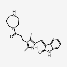 Cc1[nH]c(C=C2C(=O)Nc3ccccc32)c(C)c1CCC(=O)N1CCCNCC1